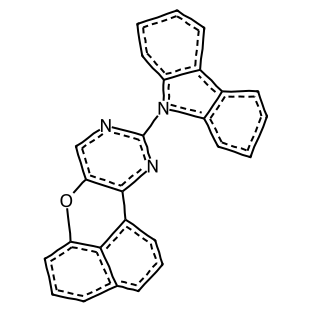 c1cc2c3c(cccc3c1)-c1nc(-n3c4ccccc4c4ccccc43)ncc1O2